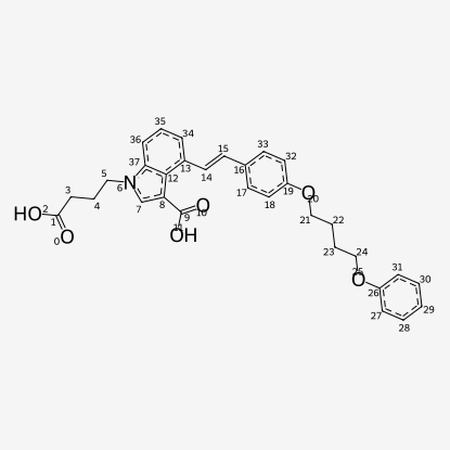 O=C(O)CCCn1cc(C(=O)O)c2c(C=Cc3ccc(OCCCCOc4ccccc4)cc3)cccc21